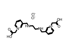 O=C(O)C[n+]1cccc(CNCCNCc2ccc[n+](CC(=O)O)c2)c1.[Cl-].[Cl-]